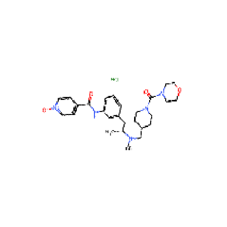 CCCN(CC1CCN(C(=O)N2CCOCC2)CC1)C(C)Cc1cccc(NC(=O)c2cc[n+]([O-])cc2)c1.Cl